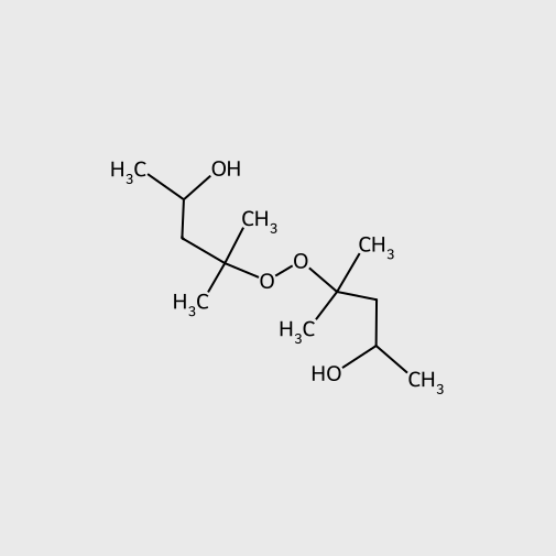 CC(O)CC(C)(C)OOC(C)(C)CC(C)O